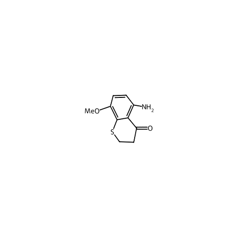 COc1ccc(N)c2c1SCCC2=O